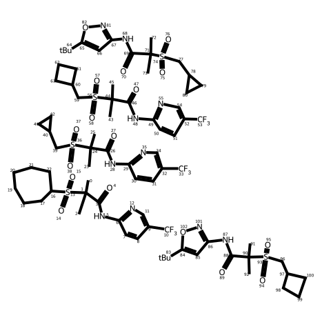 CC(C)(C(=O)Nc1ccc(C(F)(F)F)cn1)S(=O)(=O)C1CCCCCC1.CC(C)(C(=O)Nc1ccc(C(F)(F)F)cn1)S(=O)(=O)CC1CC1.CC(C)(C(=O)Nc1ccc(C(F)(F)F)cn1)S(=O)(=O)CC1CCC1.CC(C)(C)c1cc(NC(=O)C(C)(C)S(=O)(=O)CC2CC2)no1.CC(C)(C)c1cc(NC(=O)C(C)(C)S(=O)(=O)CC2CCC2)no1